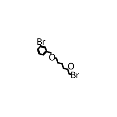 O=C(CBr)CCCCOCc1cccc(Br)c1